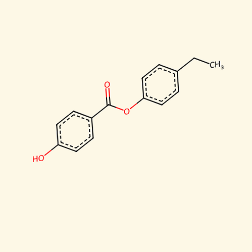 CCc1ccc(OC(=O)c2ccc(O)cc2)cc1